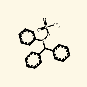 O=S(=O)(O[S+](c1ccccc1)C(c1ccccc1)c1ccccc1)C(F)(F)F